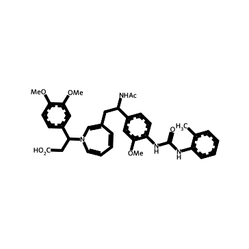 COc1cc(C(CC2=CN(C(CC(=O)O)c3ccc(OC)c(OC)c3)C=CC=C2)NC(C)=O)ccc1NC(=O)Nc1ccccc1C